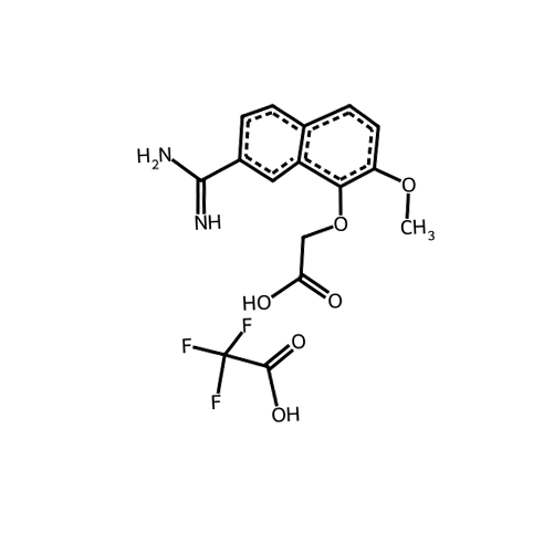 COc1ccc2ccc(C(=N)N)cc2c1OCC(=O)O.O=C(O)C(F)(F)F